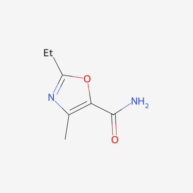 CCc1nc(C)c(C(N)=O)o1